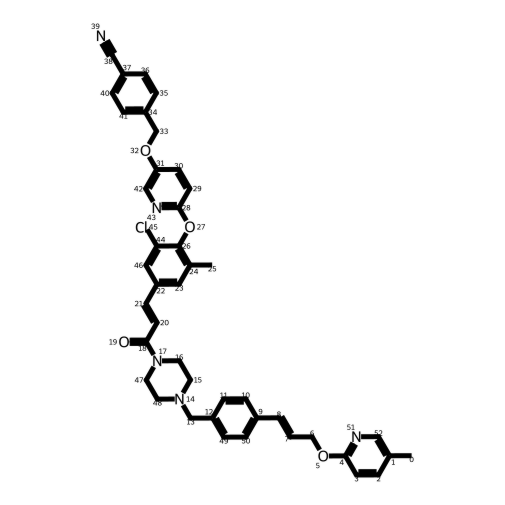 Cc1ccc(OC/C=C/c2ccc(CN3CCN(C(=O)/C=C/c4cc(C)c(Oc5ccc(OCc6ccc(C#N)cc6)cn5)c(Cl)c4)CC3)cc2)nc1